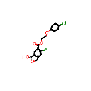 O=C(OCCOc1ccc(Cl)cc1)c1cc2c(cc1F)COB2O